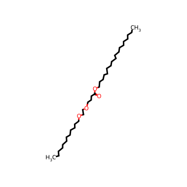 CCCCCCCCCCCCCCCCCCOC(=O)CCCOCCOCCCCCCCCCCCC